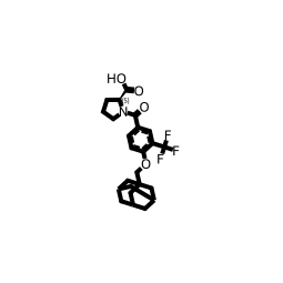 O=C(O)[C@@H]1CCCN1C(=O)c1ccc(OCC23CC4CC(CC(C4)C2)C3)c(C(F)(F)F)c1